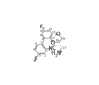 [C-]#[N+]c1cc(F)ccc1-c1cc(F)cc2c1O[C@@H](CN)CO2